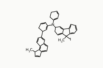 CC1C=Cc2ccc3cc(C4C=C(N(C5=CC=CCC5)C5C=C6C(=CC5)C(C)(I)c5ccccc56)C=CC4)ccc3c21